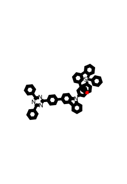 c1ccc(-c2nc(-c3ccccc3)nc(-c3ccc(-c4ccc5c(c4)c4ccccc4n5-c4cccc(-c5cccc6c5[Si](c5ccccc5)(c5ccccc5)c5ccccc5-6)c4)cc3)n2)cc1